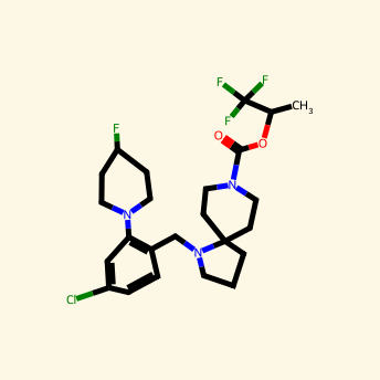 CC(OC(=O)N1CCC2(CCCN2Cc2ccc(Cl)cc2N2CCC(F)CC2)CC1)C(F)(F)F